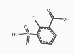 O=C(O)c1cccc(S(=O)(=O)O)c1F